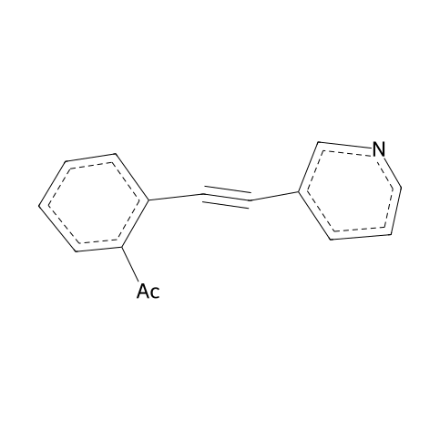 CC(=O)c1ccccc1C#Cc1cccnc1